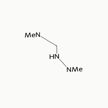 CNCNNC